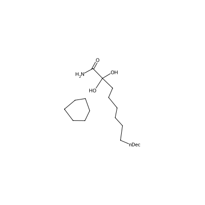 C1CCCCC1.CCCCCCCCCCCCCCCCC(O)(O)C(N)=O